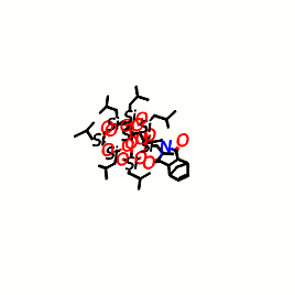 CC(C)C[Si]12O[Si]3(CCCN4C(=O)C5C6C=CC(C6)C5C4=O)O[Si]4(CC(C)C)O[Si](CC(C)C)(O1)O[Si]1(CC(C)C)O[Si](CC(C)C)(O2)O[Si](CC(C)C)(O3)O[Si](CC(C)C)(O4)O1